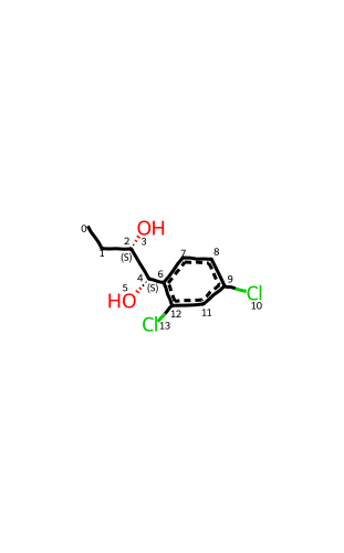 CC[C@H](O)[C@@H](O)c1ccc(Cl)cc1Cl